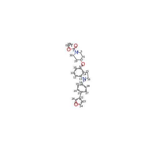 CC(C)OC(=O)N1CCC(Oc2cccc3c2CCN3c2ccc(-c3ccoc3)cc2)CC1